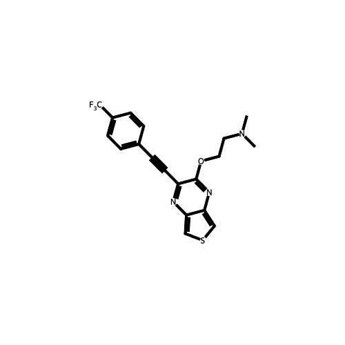 CN(C)CCOc1nc2cscc2nc1C#Cc1ccc(C(F)(F)F)cc1